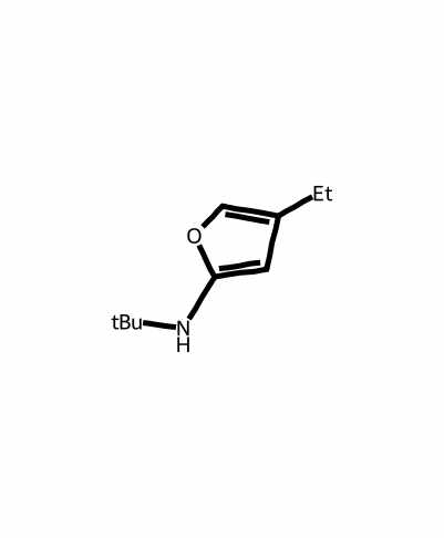 CCc1coc(NC(C)(C)C)c1